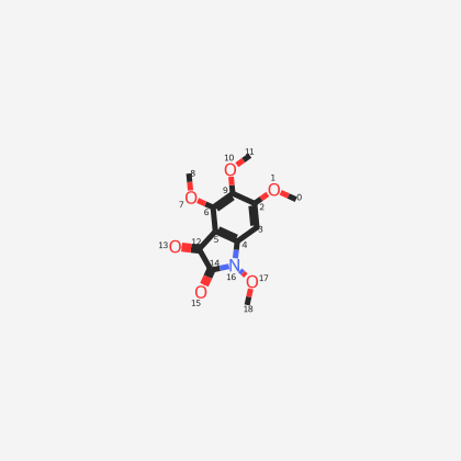 COc1cc2c(c(OC)c1OC)C(=O)C(=O)N2OC